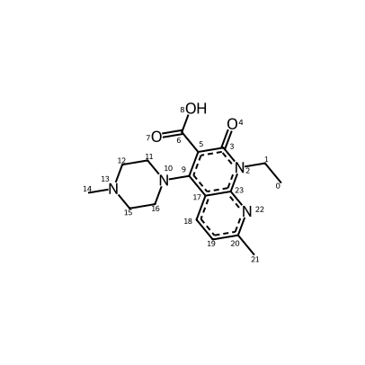 CCn1c(=O)c(C(=O)O)c(N2CCN(C)CC2)c2ccc(C)nc21